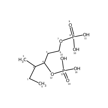 CCC(C)C(CCOP(=O)(O)O)OP(=O)(O)O